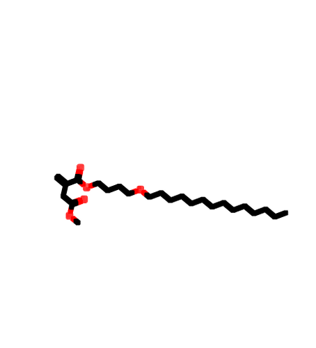 C=C(CC(=O)OC)C(=O)OCCCCOCCCCCCCCCCCCCC